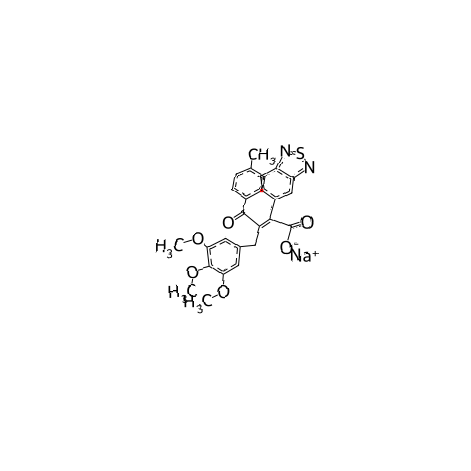 COc1cc(C/C(C(=O)c2ccc(C)cc2)=C(\C(=O)[O-])c2ccc3nsnc3c2)cc(OC)c1OC.[Na+]